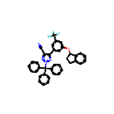 N#Cc1nn(C(c2ccccc2)(c2ccccc2)c2ccccc2)nc1-c1cc(O[C@@H]2CCc3ccccc32)cc(C(F)(F)F)c1